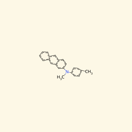 Cc1ccc(N(C)c2ccc3cc4ccccc4cc3c2)cc1